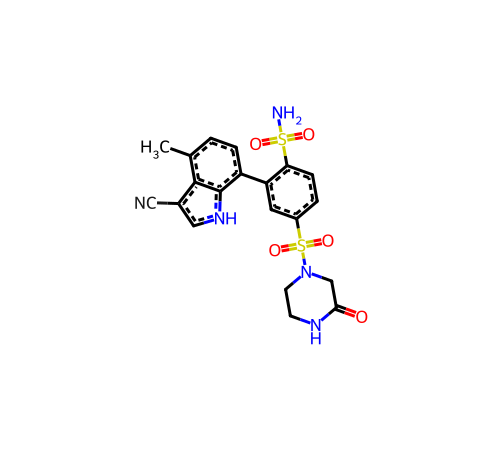 Cc1ccc(-c2cc(S(=O)(=O)N3CCNC(=O)C3)ccc2S(N)(=O)=O)c2[nH]cc(C#N)c12